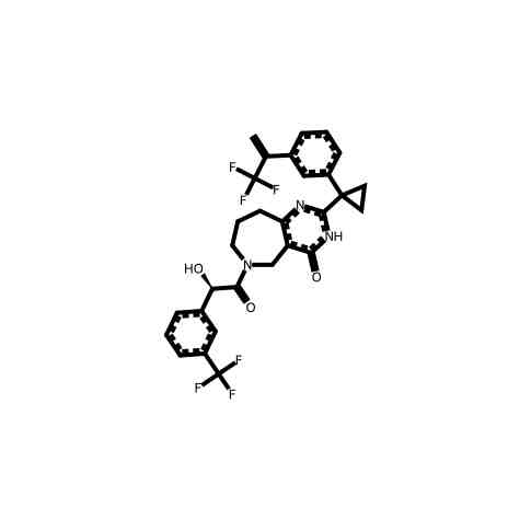 C=C(c1cccc(C2(c3nc4c(c(=O)[nH]3)CN(C(=O)[C@H](O)c3cccc(C(F)(F)F)c3)CCC4)CC2)c1)C(F)(F)F